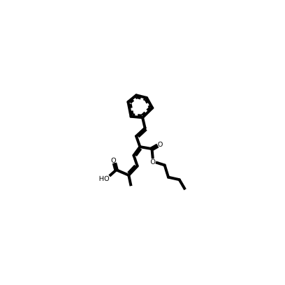 CCCCOC(=O)C(C=Cc1ccccc1)=CC=C(C)C(=O)O